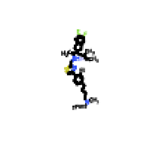 C=C(NCc1nc(-c2ccc(CCCCN(C)CCCCC)cc2CC)cs1)C1(C/C(C)=C/C)Cc2cc(F)c(F)cc2C1